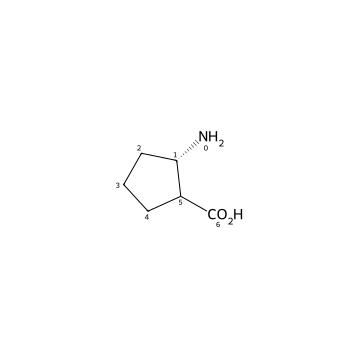 N[C@H]1CCCC1C(=O)O